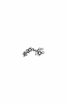 Cc1nc(-c2cc3cc(OCCN[C@@H](CO)c4cccc(Cl)c4)ccc3o2)no1